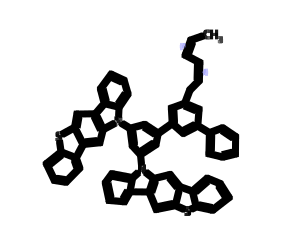 C/C=C\C=C/Cc1cc(-c2ccccc2)cc(-c2cc(-n3c4ccccc4c4cc5sc6ccccc6c5cc43)cc(-n3c4ccccc4c4cc5sc6ccccc6c5cc43)c2)c1